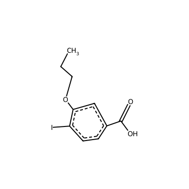 CCCOc1cc(C(=O)O)ccc1I